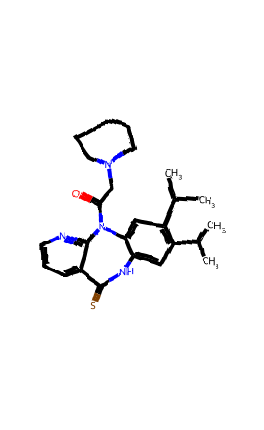 CC(C)c1cc2c(cc1C(C)C)N(C(=O)CN1CCCCC1)c1ncccc1C(=S)N2